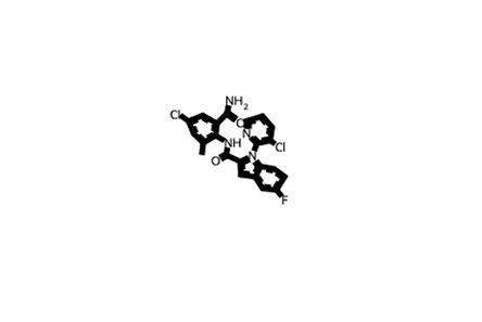 Cc1cc(Cl)cc(C(N)=O)c1NC(=O)c1cc2cc(F)ccc2n1-c1ncccc1Cl